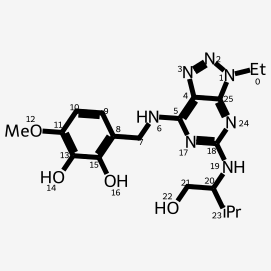 CCn1nnc2c(NCc3ccc(OC)c(O)c3O)nc(NC(CO)C(C)C)nc21